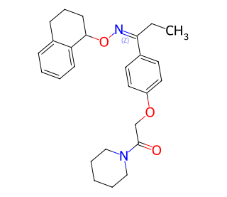 CC/C(=N/OC1CCCc2ccccc21)c1ccc(OCC(=O)N2CCCCC2)cc1